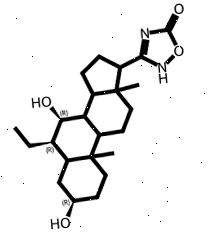 CC[C@@H]1C2C[C@H](O)CCC2(C)C2CCC3(C)C(c4nc(=O)o[nH]4)CCC3C2[C@@H]1O